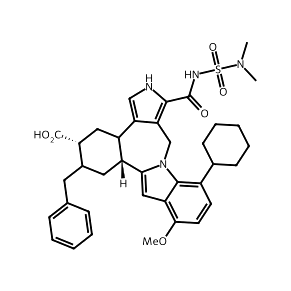 COc1ccc(C2CCCCC2)c2c1cc1n2Cc2c(c[nH]c2C(=O)NS(=O)(=O)N(C)C)C2C[C@@H](C(=O)O)C(Cc3ccccc3)C[C@@H]12